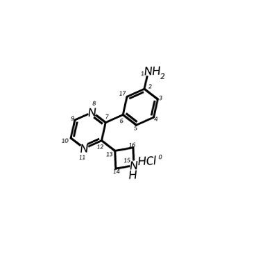 Cl.Nc1cccc(-c2nccnc2C2CNC2)c1